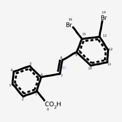 O=C(O)c1ccccc1/C=C/c1cccc(Br)c1Br